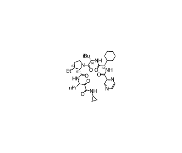 CCCC(NC(=O)[C@@H]1[C@@H](CC)CCN1C(=O)[C@@H](NC(=O)[C@@H](NC(=O)c1cnccn1)C1CCCCC1)C(C)CC)C(=O)C(=O)NC1CC1